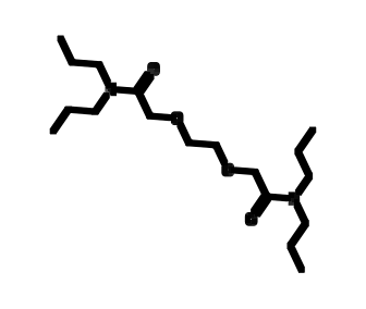 CCCN(CCC)C(=O)COCCOCC(=O)N(CCC)CCC